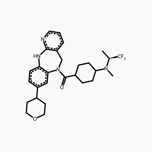 C[C@H](N(C)C1CCC(C(=O)N2Cc3cccnc3Nc3ccc(C4CCOCC4)cc32)CC1)C(F)(F)F